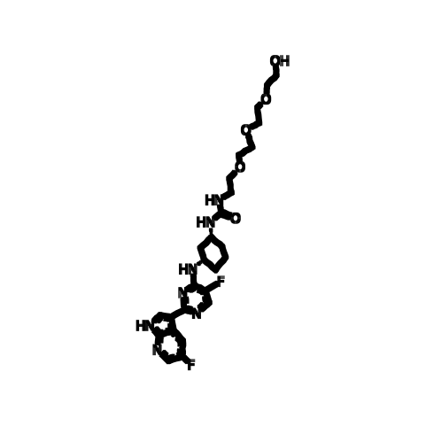 O=C(NCCOCCOCCOCCO)N[C@@H]1CCC[C@H](Nc2nc(-c3c[nH]c4ncc(F)cc34)ncc2F)C1